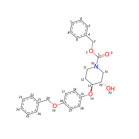 O=C(OCc1ccccc1)N1CC[C@H](Oc2ccc(OCc3ccccc3)cc2)[C@@H](O)C1